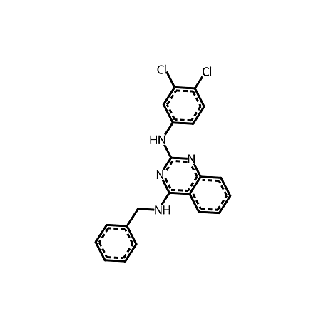 Clc1ccc(Nc2nc(NCc3ccccc3)c3ccccc3n2)cc1Cl